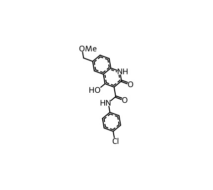 COCc1ccc2[nH]c(=O)c(C(=O)Nc3ccc(Cl)cc3)c(O)c2c1